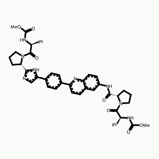 COC(=O)N[C@H](C(=O)N1CCC[C@H]1C(=O)Nc1ccc2nc(-c3ccc(-c4cnc([C@@H]5CCCN5C(=O)[C@@H](NC(=O)OC)C(C)C)[nH]4)cc3)ccc2c1)C(C)C